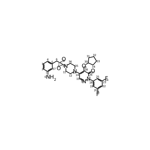 Nc1cccc(CS(=O)(=O)N2CCN(c3cnn(-c4cc(F)cc(F)c4)c(=O)c3OC3CCCC3)CC2)c1